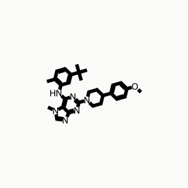 COc1ccc(C2CCN(c3nc(Nc4cc(C(C)(C)C)ccc4C)c4c(ncn4C)n3)CC2)cc1